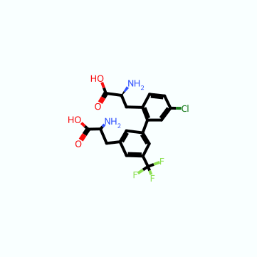 NC(Cc1cc(-c2cc(Cl)ccc2C[C@H](N)C(=O)O)cc(C(F)(F)F)c1)C(=O)O